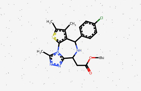 Cc1sc2c(c1C)C(c1ccc(Cl)cc1)NC(CC(=O)OC(C)(C)C)c1nnc(C)n1-2